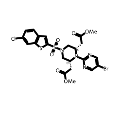 COC(=O)C[C@@H]1CN(S(=O)(=O)c2cc3ccc(Cl)cc3s2)C[C@H](CC(=O)OC)N1c1ncc(Br)cn1